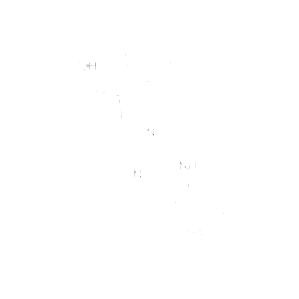 OC1=CCc2cnc(Nc3ccccc3)nc2C1C1CCCC1